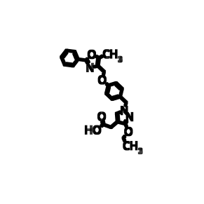 CCOc1nn(Cc2ccc(OCc3nc(-c4ccccc4)oc3C)cc2)cc1CC(=O)O